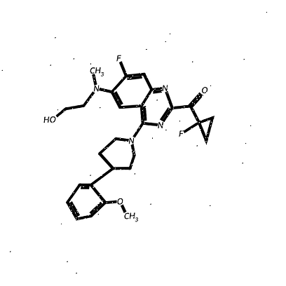 COc1ccccc1C1CCN(c2nc(C(=O)C3(F)CC3)nc3cc(F)c(N(C)CCO)cc23)CC1